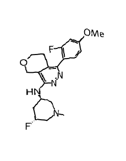 COc1ccc(-c2nnc(N[C@@H]3C[C@@H](F)CN(C)C3)c3c2CCOC3)c(F)c1